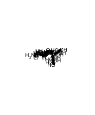 CCn1c(CN(C=O)c2nc(Cl)c(N)nc2N)[n+](CC)c2ccc(C(=O)N3CC[C@@H](N(C[C@H](O)[C@@H](O)[C@H](O)[C@H](O)CO)C[C@H](O)[C@@H](O)[C@H](O)[C@H](O)CO)C3)cc21